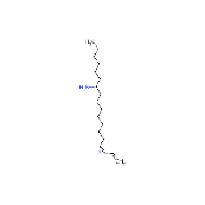 C=C/C=C\CCCCCCCC(N)CCCCCC